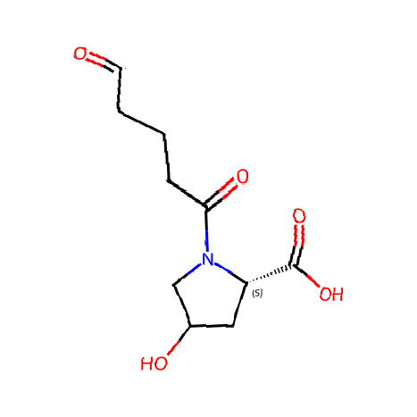 O=[C]CCCC(=O)N1CC(O)C[C@H]1C(=O)O